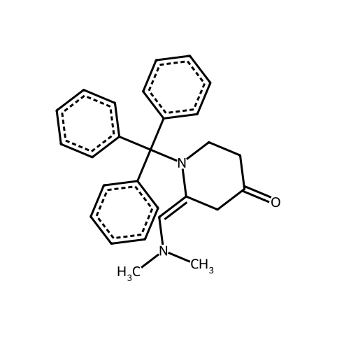 CN(C)C=C1CC(=O)CCN1C(c1ccccc1)(c1ccccc1)c1ccccc1